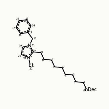 CCCCCCCCCCCCCCCCCCCc1n(Cc2ccccc2)cc[n+]1CC